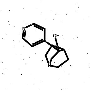 OC1(c2ccncc2)CN2CCC1CC2